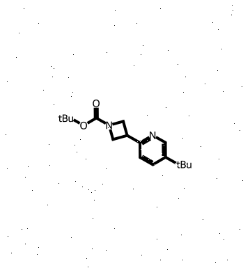 CC(C)(C)OC(=O)N1CC(c2ccc(C(C)(C)C)cn2)C1